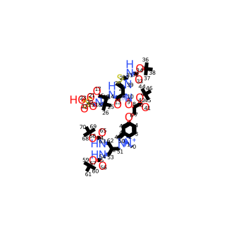 C[n+]1c2ccc(OCC(O/N=C(\C(=O)N[C@@H]3C(=O)N(OS(=O)(=O)O)C3(C)C)c3csc(NC(=O)OC(C)(C)C)n3)C(=O)OC(C)(C)C)cc2cn1CC(CNC(=O)OC(C)(C)C)CNC(=O)OC(C)(C)C